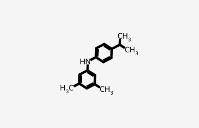 Cc1cc(C)cc(Nc2ccc(C(C)C)cc2)c1